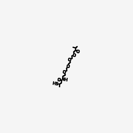 CC(S)CC(=O)NCCOCCOCCOCCOCC(=O)C(C)C